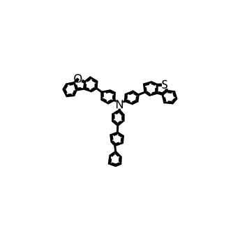 c1ccc(-c2ccc(-c3ccc(N(c4ccc(-c5ccc6oc7ccccc7c6c5)cc4)c4ccc(-c5ccc6sc7ccccc7c6c5)cc4)cc3)cc2)cc1